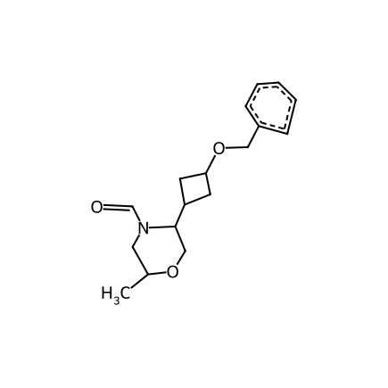 CC1CN(C=O)C(C2CC(OCc3ccccc3)C2)CO1